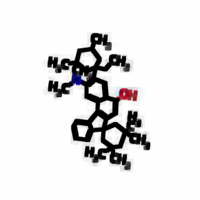 CCC1(c2cc3c(O)cc4c(c3cc2N(C)C)-c2ccccc2C42CC(C)(C)CC(C)(C)C2)CC(C)CC(C)C1